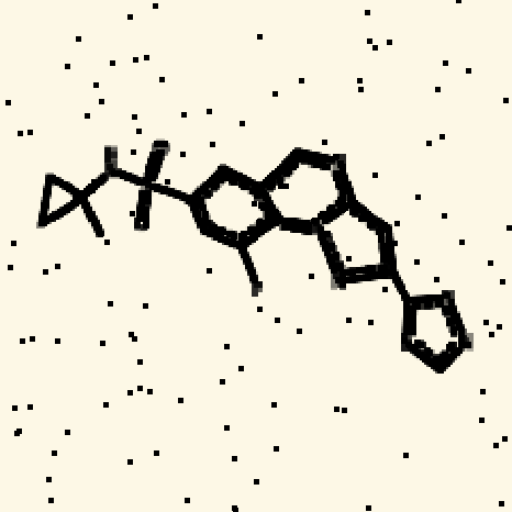 CC1(NS(=O)(=O)c2cc(F)c3c(cnc4cc(-c5nncs5)nn43)c2)CC1